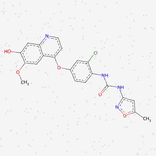 COc1cc2c(Oc3ccc(NC(=O)Nc4cc(C)on4)c(Cl)c3)ccnc2cc1O